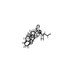 CCCNC(=O)O[C@]1(C(=O)C=O)CC[C@H]2[C@@H]3CCC4=CCC=C[C@]4(C)[C@H]3CC[C@@]21C